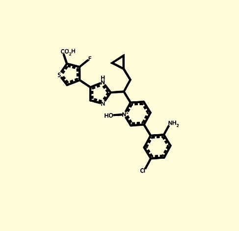 Nc1ccc(Cl)cc1-c1ccc(C(CC2CC2)c2ncc(-c3csc(C(=O)O)c3F)[nH]2)[n+](O)c1